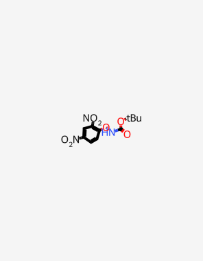 CC(C)(C)OC(=O)NOc1ccc([N+](=O)[O-])cc1[N+](=O)[O-]